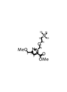 COCc1cc(C(=O)OC)n(COCC[Si](C)(C)C)n1